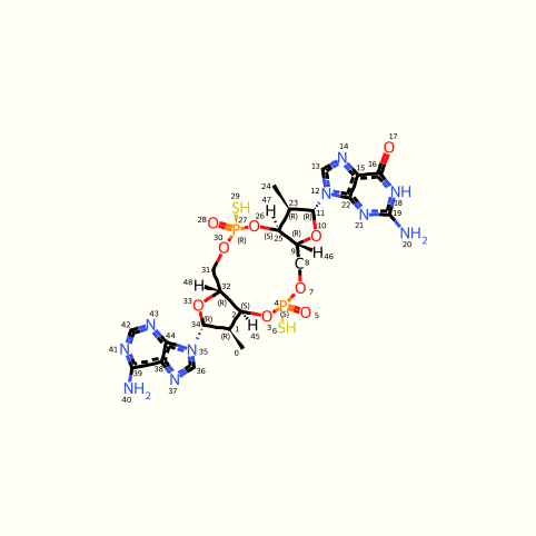 C[C@@H]1[C@@H]2O[P@@](=O)(S)OC[C@H]3O[C@@H](n4cnc5c(=O)[nH]c(N)nc54)[C@H](C)[C@@H]3O[P@](=O)(S)OC[C@H]2O[C@H]1n1cnc2c(N)ncnc21